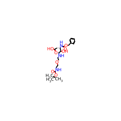 CC(C)(C)OC(=O)NCCOCCNCC(O)[C@H](CC(=O)O)NC(=O)OCc1ccccc1